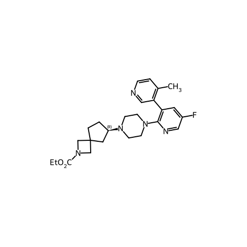 CCOC(=O)N1CC2(CC[C@@H](N3CCN(c4ncc(F)cc4-c4cnccc4C)CC3)C2)C1